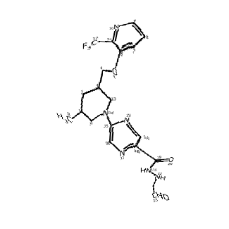 CC1CC(COc2cccnc2C(F)(F)F)CN(c2cnc(C(=O)NNC=O)cn2)C1